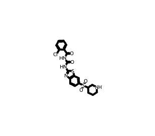 O=C(NC(=O)c1ccccc1Cl)Nc1nc2ccc(S(=O)(=O)C3CCCNC3)cc2s1